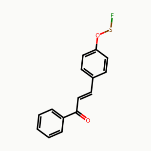 O=C(/C=C/c1ccc(OSF)cc1)c1ccccc1